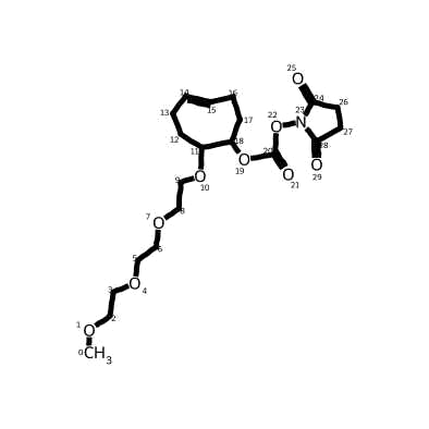 COCCOCCOCCOC1CC/C=C/CCC1OC(=O)ON1C(=O)CCC1=O